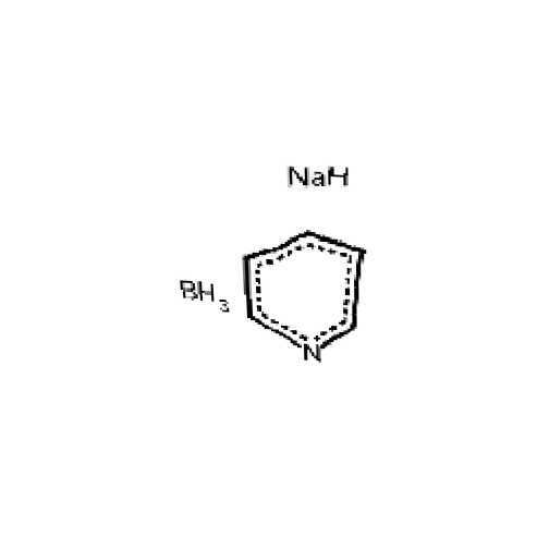 B.[NaH].c1ccncc1